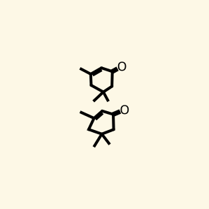 CC1=CC(=O)CC(C)(C)C1.CC1=CC(=O)CC(C)(C)C1